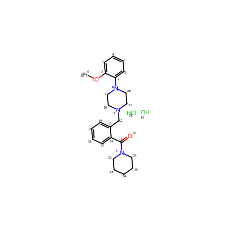 CC(C)Oc1ccccc1N1CCN(Cc2ccccc2C(=O)N2CCCCC2)CC1.Cl.Cl